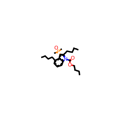 CCCCOC(=O)n1c(CCCC)c(P(C)(C)=O)c2c(CCCC)cccc21